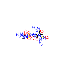 CON=S1C=C(CC(N)=O)N(C2CN(C(=O)NS(=O)(=O)N3CCN(N)C3=O)C2=O)C1N